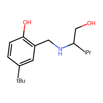 CC(C)C(CO)NCc1cc(C(C)(C)C)ccc1O